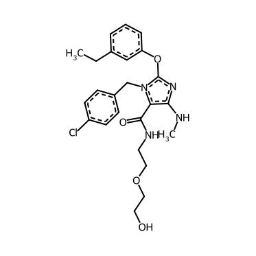 CCc1cccc(Oc2nc(NC)c(C(=O)NCCOCCO)n2Cc2ccc(Cl)cc2)c1